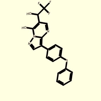 Oc1c(C(O)C(F)(F)F)cnc2c(-c3ccc(Sc4ccccc4)cc3)cnn12